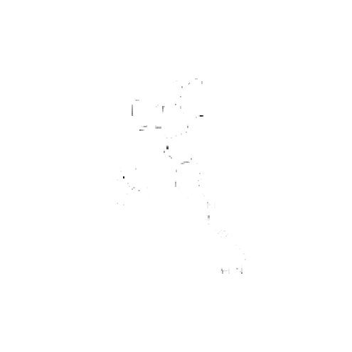 CCC(=O)N1c2ccccc2[C@H](Nc2ccc(NCC#CCN)cn2)C[C@@H]1C.O=C(O)C(F)(F)F